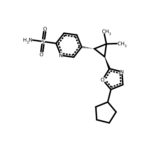 CC1(C)[C@@H](c2ccc(S(N)(=O)=O)nc2)[C@@H]1c1ncc(C2CCCC2)o1